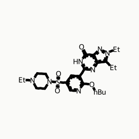 CCCCOc1ncc(S(=O)(=O)N2CCN(CC)CC2)cc1-c1nc2c(CC)n(CC)nc2c(=O)[nH]1